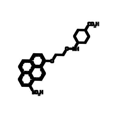 O=C(O)C1CCC(NOCCOc2ccc3ccc4ccc(S(=O)(=O)O)c5ccc2c3c45)CC1